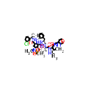 CC(C)[C@H](NC(=O)[C@H](C)NC[C@H](Cc1ccccc1)NC(=O)c1cc(C(=O)N[C@H](C)c2cccc(Cl)c2)cc(N(C)S(C)(=O)=O)c1)C(=O)NCC1CCOCC1